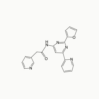 O=C(Cc1cccnc1)Nc1cc(-c2ccccn2)nc(-c2ccco2)n1